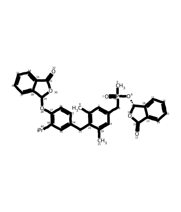 Cc1cc(CP(C)(=O)O[C@H]2OC(=O)c3ccccc32)cc(C)c1Cc1ccc(OC2OC(=O)c3ccccc32)c(C(C)C)c1